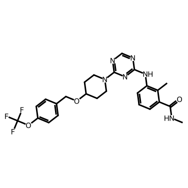 CNC(=O)c1cccc(Nc2ncnc(N3CCC(OCc4ccc(OC(F)(F)F)cc4)CC3)n2)c1C